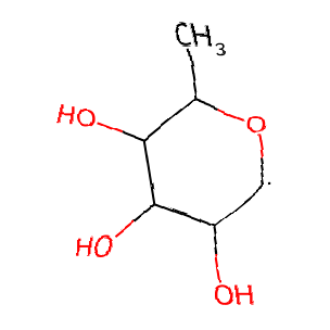 CC1O[CH]C(O)C(O)C1O